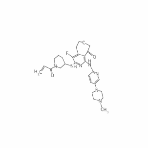 C=CC(=O)N1CCCC(Nc2nc(Nc3ccc(N4CCN(C)CC4)cn3)c3c(c2F)CCCCC3=O)C1